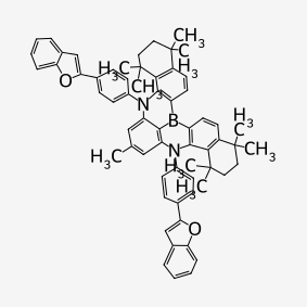 Cc1cc2c3c(c1)N(c1ccc(-c4cc5ccccc5o4)cc1)c1c(ccc4c1C(C)(C)CCC4(C)C)B3c1ccc3c(c1N2c1ccc(-c2cc4ccccc4o2)cc1)C(C)(C)CCC3(C)C